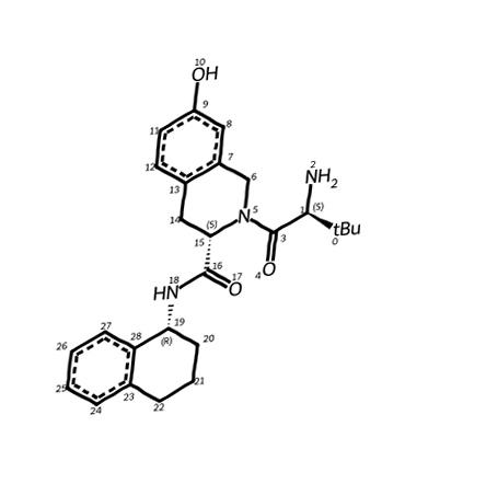 CC(C)(C)[C@H](N)C(=O)N1Cc2cc(O)ccc2C[C@H]1C(=O)N[C@@H]1CCCc2ccccc21